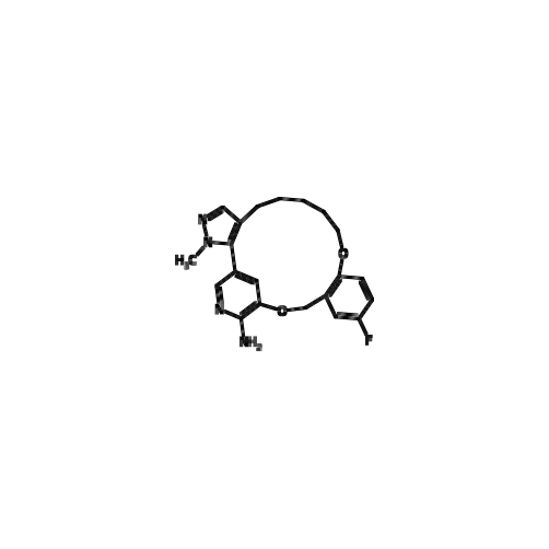 Cn1ncc2c1-c1cnc(N)c(c1)OCc1cc(F)ccc1OCCCCC2